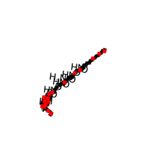 CCCCCCCCCCCCCCCC(=O)NCCOCCNC(=O)CC[C@H](N)C(=O)NCCOCCNC(=O)O[C@H]1CC[C@@]2(C)C(=CC[C@H]3[C@@H]4CC[C@H]([C@H](C)CCCC(C)C)[C@@]4(C)CC[C@@H]32)C1